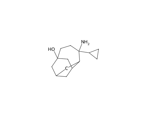 NC1(C2CC2)CCC2(O)CC3CC(C2)C1C3